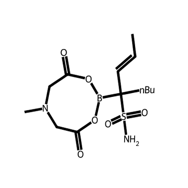 CC=CC(CCCC)(B1OC(=O)CN(C)CC(=O)O1)S(N)(=O)=O